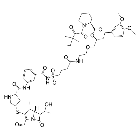 CCC(C)(C)C(=O)C(=O)N1CCCC[C@H]1C(=O)O[C@H](CCc1ccc(OC)c(OC)c1)COCCNC(=O)CCCS(=O)(=O)NC(=O)c1cccc(NC(=O)[C@@H]2C[C@H](SC3=C(C=O)N4C(=O)[C@H]([C@@H](C)O)[C@H]4[C@H]3C)CN2)c1